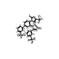 Cc1nc(C(F)(F)F)cn1-c1ccc(-c2cccc(S(C)(=O)=O)c2)cc1N1NNC=C1c1cccc(C(F)(F)F)c1